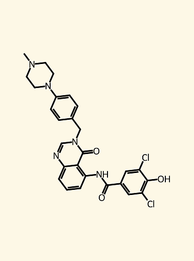 CN1CCN(c2ccc(Cn3cnc4cccc(NC(=O)c5cc(Cl)c(O)c(Cl)c5)c4c3=O)cc2)CC1